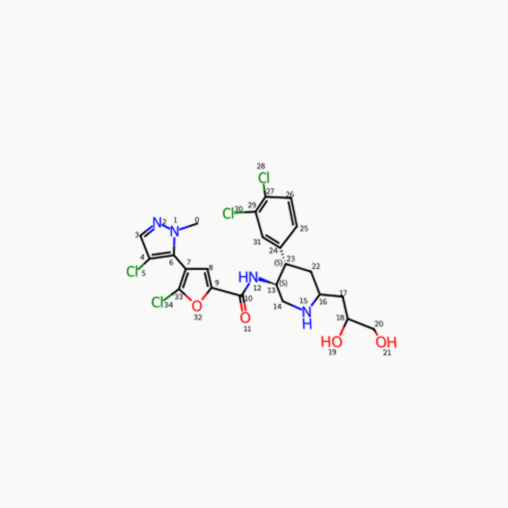 Cn1ncc(Cl)c1-c1cc(C(=O)N[C@@H]2CNC(CC(O)CO)C[C@H]2c2ccc(Cl)c(Cl)c2)oc1Cl